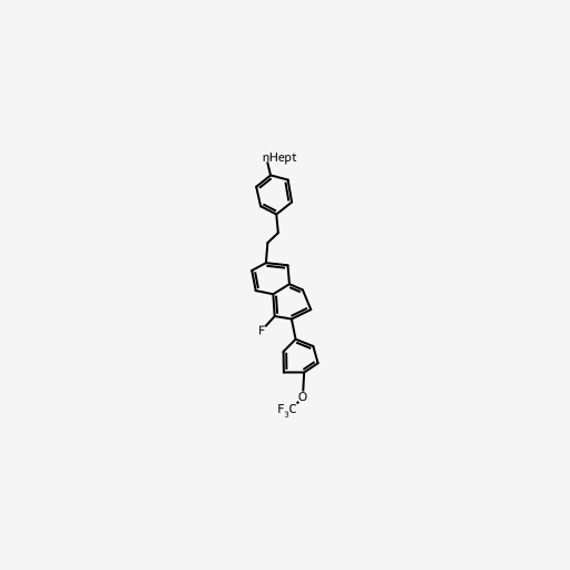 CCCCCCCc1ccc(CCc2ccc3c(F)c(-c4ccc(OC(F)(F)F)cc4)ccc3c2)cc1